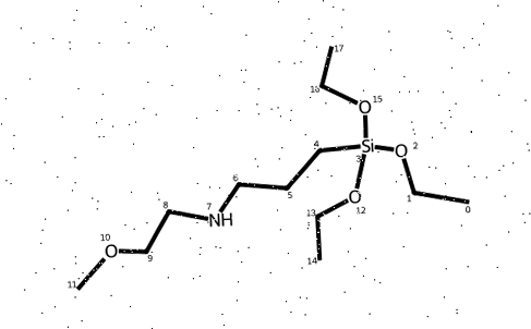 CCO[Si](CCCNCCOC)(OCC)OCC